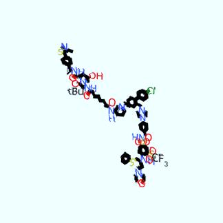 Cc1ncsc1-c1ccc([C@H](C)NC(=O)[C@@H]2C[C@@H](O)CN2C(=O)C(NC(=O)CCCCCCC(=O)N[C@@H]2CCCN(CC3(C)CCC(c4ccc(Cl)cc4)=C(CN4CCN(c5ccc(C(=O)NS(=O)(=O)c6ccc(NC(CCN7CCOCC7)CSc7ccccc7)c(S(=O)(=O)C(F)(F)F)c6)cc5)CC4)C3)C2)C(C)(C)C)cc1